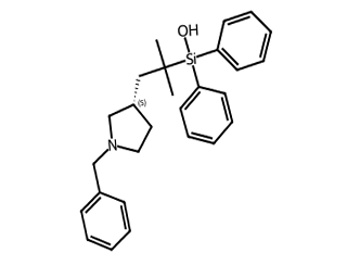 CC(C)(C[C@@H]1CCN(Cc2ccccc2)C1)[Si](O)(c1ccccc1)c1ccccc1